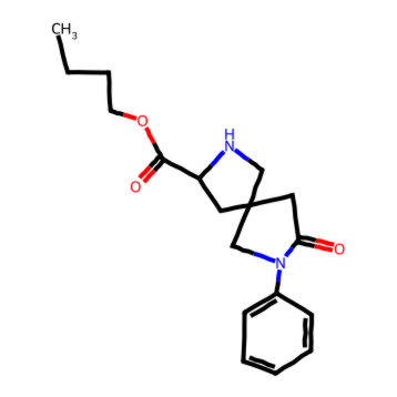 CCCCOC(=O)C1CC2(CN1)CC(=O)N(c1ccccc1)C2